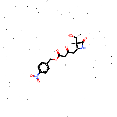 C[C@@H](O)[C@@]1(C)C(=O)NC1CC(=O)CC(=O)OCc1ccc([N+](=O)[O-])cc1